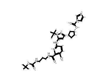 CC(C)(C)OC(=O)NCCCNC(=O)c1nc(Nc2cc([C@H]3CC[C@@H](OC(=O)n4ccnc4)C3)nn2C(C)(C)C)ccc1Cl